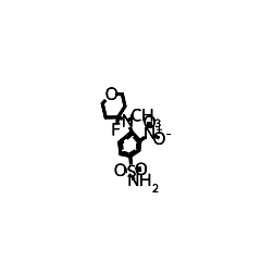 CN(c1ccc(S(N)(=O)=O)cc1[N+](=O)[O-])C1(F)CCOCC1